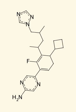 CC(CC(C)C1=C(F)C(c2cnc(N)cn2)=CCC1C1CCC1)Cn1cncn1